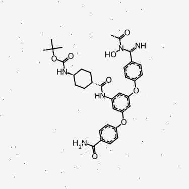 CC(=O)N(O)C(=N)c1ccc(Oc2cc(NC(=O)[C@H]3CC[C@H](NC(=O)OC(C)(C)C)CC3)cc(Oc3ccc(C(N)=O)cc3)c2)cc1